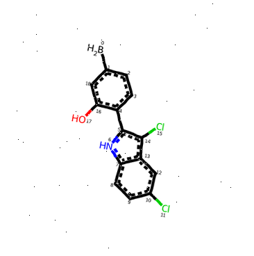 Bc1ccc(-c2[nH]c3ccc(Cl)cc3c2Cl)c(O)c1